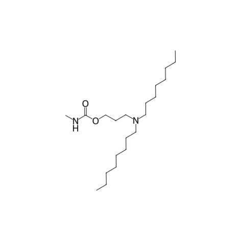 CCCCCCCCN(CCCCCCCC)CCCOC(=O)NC